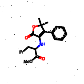 COC(=O)C(CC(C)C)NC1=C(c2ccccc2)C(C)(C)OC1=O